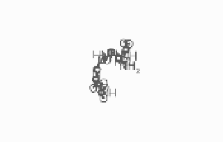 CS(=O)(=O)c1ccc(Nc2nc(N3CCC[C@@H](NC(=O)OCCC4CCN(c5ccc6c(c5)C(=O)N(C5CCC(=O)NC5=O)C6=O)CC4)C3)cnc2C(N)=O)cc1